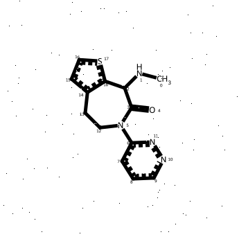 CNC1C(=O)N(c2cccnn2)CCc2ccsc21